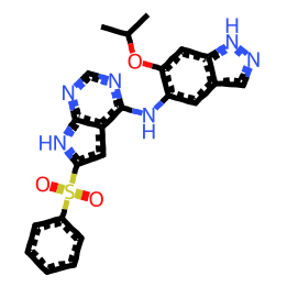 CC(C)Oc1cc2[nH]ncc2cc1Nc1ncnc2[nH]c(S(=O)(=O)c3ccccc3)cc12